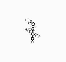 COC(=O)[C@H]1CCC[C@@H](C(=O)N[C@@H](C(=O)N2CCC(c3ccc(Cl)cc3)C(C)(C)C2)C(C)C)C1